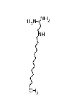 CCCCCCCCCCCCCCNCCC(N)N